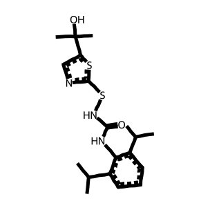 CC(C)c1cccc(C(C)C)c1NC(=O)NSc1ncc(C(C)(C)O)s1